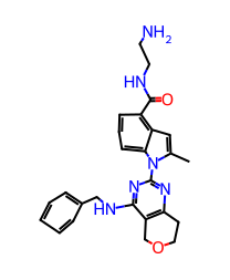 Cc1cc2c(C(=O)NCCN)cccc2n1-c1nc2c(c(NCc3ccccc3)n1)COCC2